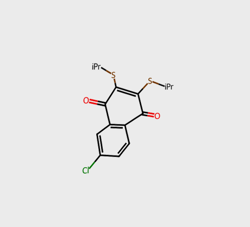 CC(C)SC1=C(SC(C)C)C(=O)c2cc(Cl)ccc2C1=O